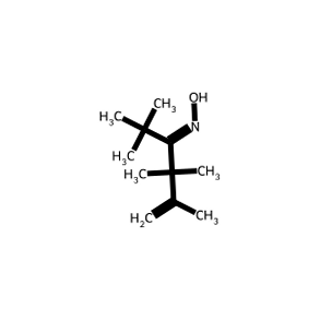 C=C(C)C(C)(C)C(=NO)C(C)(C)C